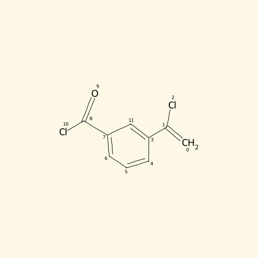 C=C(Cl)c1cccc(C(=O)Cl)c1